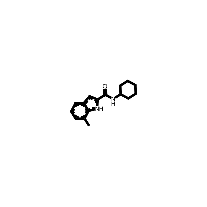 Cc1cccc2cc(C(=O)NC3CCCCC3)[nH]c12